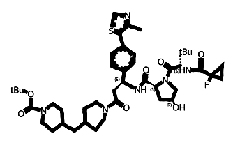 Cc1ncsc1-c1ccc([C@H](CC(=O)N2CCC(CC3CCN(C(=O)OC(C)(C)C)CC3)CC2)NC(=O)[C@@H]2C[C@@H](O)CN2C(=O)[C@@H](NC(=O)C2(F)CC2)C(C)(C)C)cc1